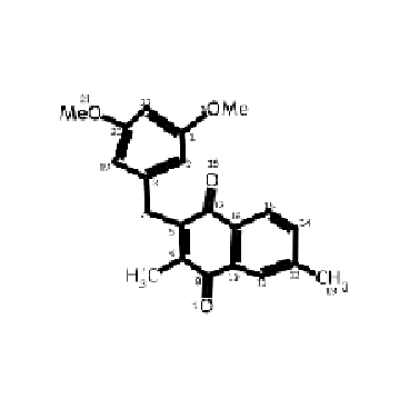 COc1cc(CC2=C(C)C(=O)c3cc(C)ccc3C2=O)cc(OC)c1